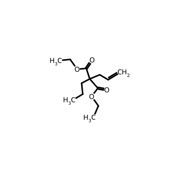 C=CCC(CCC)(C(=O)OCC)C(=O)OCC